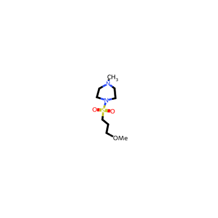 COCCCS(=O)(=O)N1CCN(C)CC1